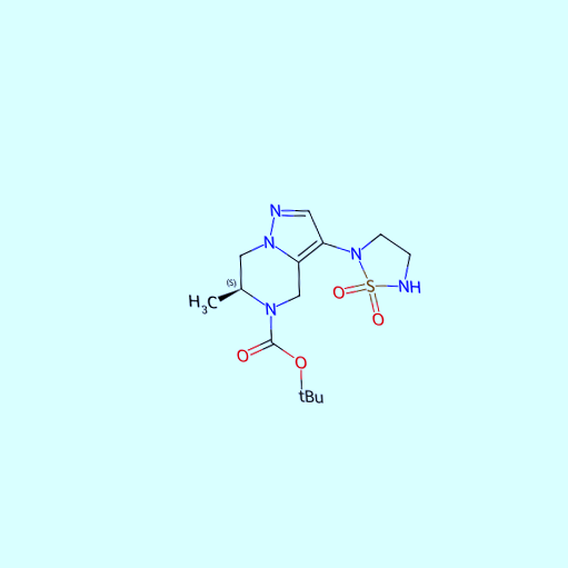 C[C@H]1Cn2ncc(N3CCNS3(=O)=O)c2CN1C(=O)OC(C)(C)C